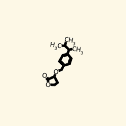 CC(C)C(C)c1ccc(COC2CCOC2=O)cc1